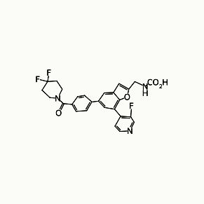 O=C(O)NCc1cc2cc(-c3ccc(C(=O)N4CCC(F)(F)CC4)cc3)cc(-c3ccncc3F)c2o1